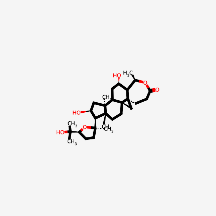 C[C@H]1OC(=O)CC[C@]23C[C@]24CC[C@]2(C)[C@@H]([C@@]5(C)CC[C@@H](C(C)(C)O)O5)[C@@H](O)C[C@@]2(C)C4C[C@H](O)C13